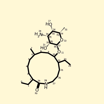 CCC1CCCC(C)CCC(O[C@@H]2O[C@@H](C)[C@@H](O)[C@@H](N)[C@H]2O)C(CC)CCCNC1=O